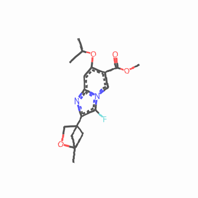 COC(=O)c1cn2c(F)c(C34COC(C)(C3)C4)nc2cc1OC(C)C